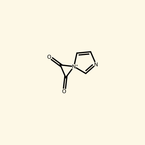 O=C1C(=O)[N+]12C=CN=C2